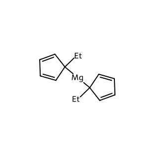 CC[C]1([Mg][C]2(CC)C=CC=C2)C=CC=C1